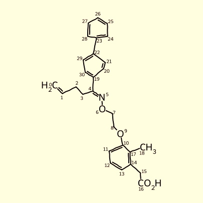 C=CCC/C(=N\OCCOc1cccc(CC(=O)O)c1C)c1ccc(-c2ccccc2)cc1